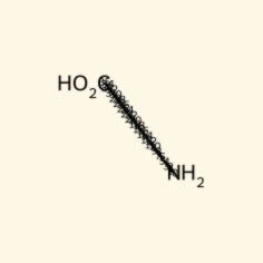 NCCCCCCCCCCCCCCCCCCCCCCCCCCCCCCCCCCC(=O)O